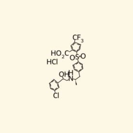 C[C@H](Cc1ccc(S(=O)(=O)c2ccc(C(F)(F)F)cc2C(=O)O)cc1)NC[C@H](O)c1cccc(Cl)c1.Cl